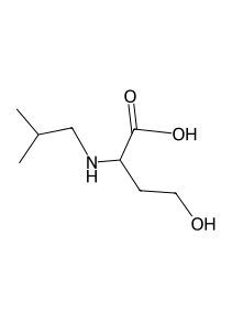 CC(C)CNC(CCO)C(=O)O